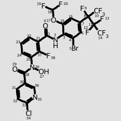 O=C(Nc1c(Br)cc(C(F)(C(F)(F)F)C(F)(F)C(F)(F)F)cc1OC(F)F)c1cccc(N(O)C(=O)c2ccc(Cl)nc2)c1F